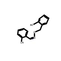 N#Cc1ccccc1/[C]=N\OCc1ccccc1C#N